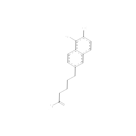 NC(=O)CCCCc1ccc2c(Br)c(O)ccc2c1